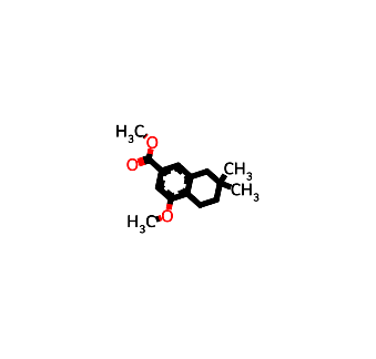 COC(=O)c1cc2c(c(OC)c1)CCC(C)(C)C2